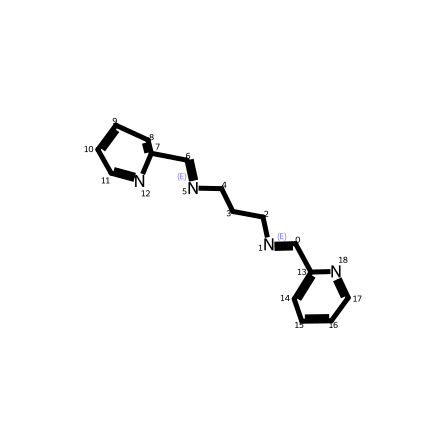 C(=N\CCC/N=C/c1ccccn1)/c1ccccn1